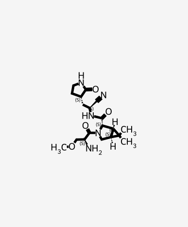 COC[C@H](N)C(=O)N1C[C@H]2[C@@H]([C@H]1C(=O)N[C@H](C#N)C[C@@H]1CCNC1=O)C2(C)C